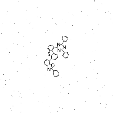 c1ccc(-c2nc(-c3ccccc3)nc(-c3cccc4sc5c(-c6cccc7nc(-c8ccccc8)oc67)cccc5c34)n2)cc1